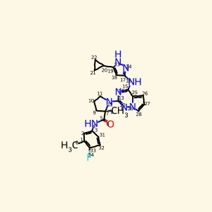 Cc1cc(NC(=O)[C@]2(C)CCCN2c2nc(Nc3cc(C4CC4)[nH]n3)c3cccn3n2)ccc1F